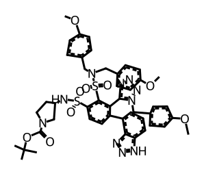 COc1ccc(CN(Cc2ccc(OC)cc2)S(=O)(=O)c2c(S(=O)(=O)N[C@@H]3CCN(C(=O)OC(C)(C)C)C3)ccc(-c3cccc4[nH]nnc34)c2-c2nnnn2Cc2ccc(OC)cc2)cc1